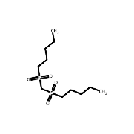 CCCCCS(=O)(=O)CS(=O)(=O)CCCCC